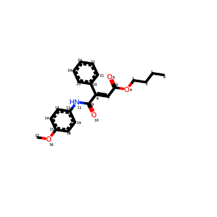 CCCCOC(=O)/C=C(/C(=O)Nc1ccc(OC)cc1)c1ccccc1